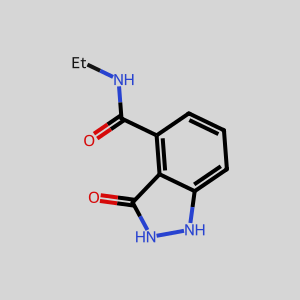 CCNC(=O)c1cccc2[nH][nH]c(=O)c12